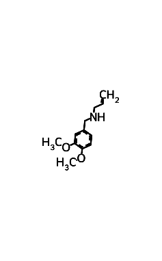 C=CCNCc1ccc(OC)c(OC)c1